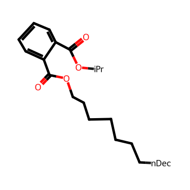 CCCCCCCCCCCCCCCCCOC(=O)c1ccccc1C(=O)OC(C)C